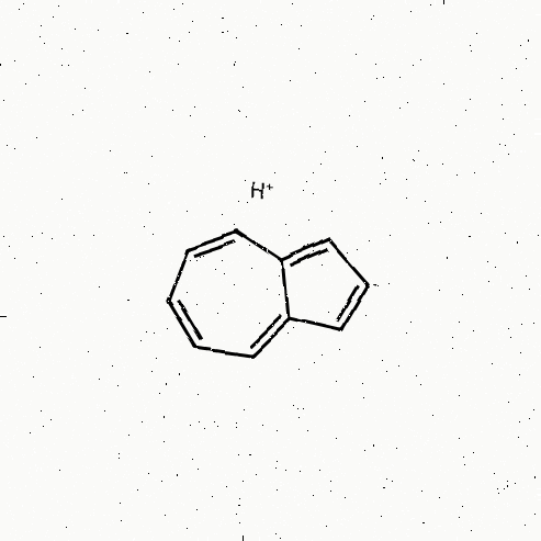 [H+].[c]1cc2cccccc-2c1